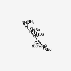 CC(C)(C)OC(=O)NCCCN(CCCCN(CCCN(CCCN(CCCN)CCCN)C(=O)OC(C)(C)C)C(=O)OC(C)(C)C)C(=O)OC(C)(C)C